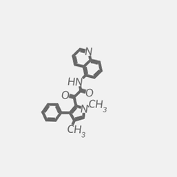 Cc1cn(C)c(C(=O)C(=O)Nc2cccc3ncccc23)c1-c1ccccc1